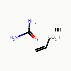 C=CC(=O)O.NC(N)=O.[HH]